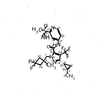 C[C@@H]1C[C@H]1c1nn(CC2(C)CC(F)(F)C2)c(C(=O)Nc2ccnc(S(C)(=N)=O)c2)c1C(F)(F)F